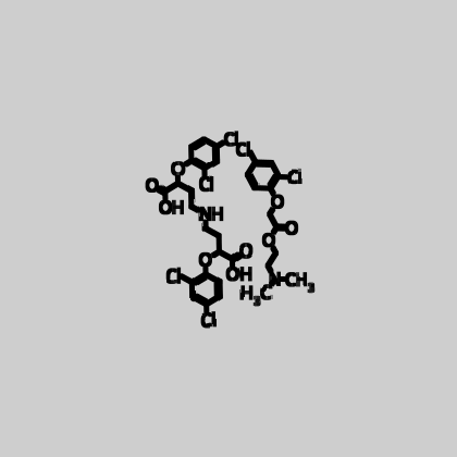 CN(C)CCOC(=O)COc1ccc(Cl)cc1Cl.O=C(O)C(CCNCCC(Oc1ccc(Cl)cc1Cl)C(=O)O)Oc1ccc(Cl)cc1Cl